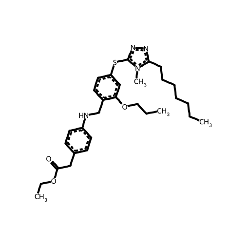 CCCCCCCc1nnc(Sc2ccc(CNc3ccc(CC(=O)OCC)cc3)c(OCCC)c2)n1C